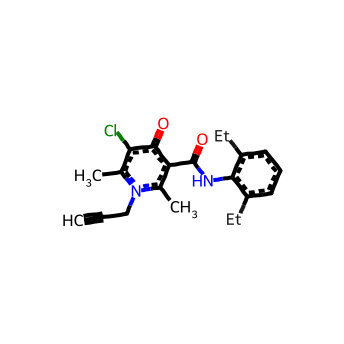 C#CCn1c(C)c(Cl)c(=O)c(C(=O)Nc2c(CC)cccc2CC)c1C